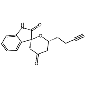 C#CCC[C@@H]1CC(=O)C[C@@]2(O1)C(=O)Nc1ccccc12